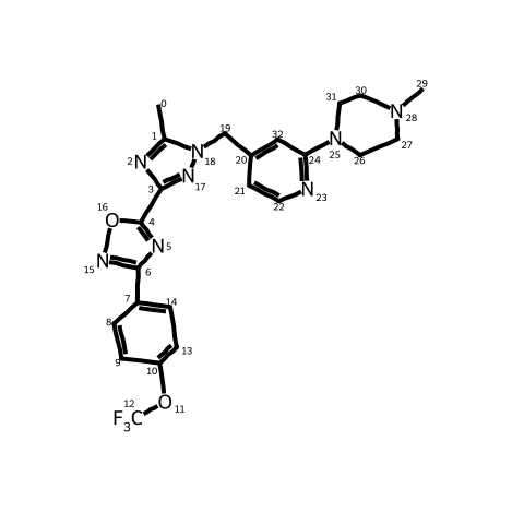 Cc1nc(-c2nc(-c3ccc(OC(F)(F)F)cc3)no2)nn1Cc1ccnc(N2CCN(C)CC2)c1